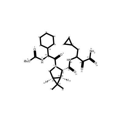 CC(C)COC(=O)N[C@H](C(=O)N1C[C@H]2[C@@H]([C@H]1C(=O)NC(CC1CC1)C(=O)C(N)=O)C2(C)C)C1CCCCC1